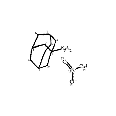 NC12CC3CC(CC(C3)C1)C2.O=[N+]([O-])O